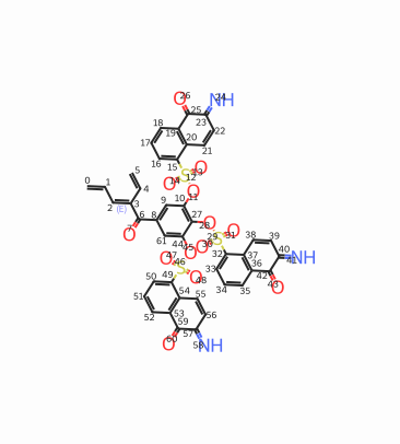 C=C/C=C(\C=C)C(=O)c1cc(OS(=O)(=O)c2cccc3c2C=CC(=N)C3=O)c(OS(=O)(=O)c2cccc3c2C=CC(=N)C3=O)c(OS(=O)(=O)c2cccc3c2C=CC(=N)C3=O)c1